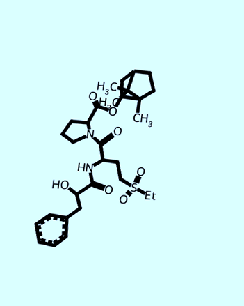 CCS(=O)(=O)CCC(NC(=O)C(O)Cc1ccccc1)C(=O)N1CCCC1C(=O)OC1CC2CCC1(C)C2(C)C